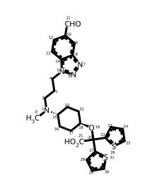 CN(CCCn1nnc2cc(C=O)ccc21)[C@H]1CC[C@H](OC(C(=O)O)(c2cccs2)c2cccs2)CC1